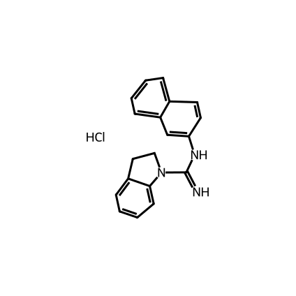 Cl.N=C(Nc1ccc2ccccc2c1)N1CCc2ccccc21